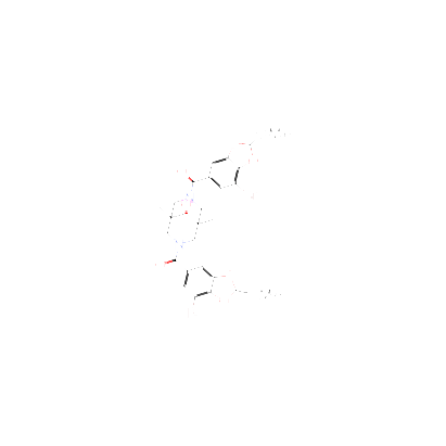 COC1Oc2cc(C(=O)N3CC4(C)CN(C(=O)c5cc(Br)c6c(c5)OC(OC)O6)CC(C)(C3)C4=O)cc(Br)c2O1